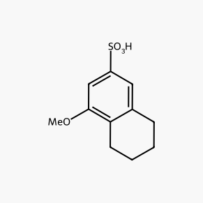 COc1cc(S(=O)(=O)O)cc2c1CCCC2